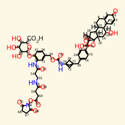 C[C@]12C=CC(=O)C=C1CC[C@@H]1[C@@H]2[C@@H](O)C[C@@]2(C)[C@H]1C[C@H]1O[C@H](c3ccc(CC45CC(NC(=O)OCc6ccc(O[C@@H]7O[C@H](C(=O)O)[C@@H](O)[C@H](O)[C@H]7O)c(NC(=O)CCNC(=O)CCC(=O)ON7C(=O)CCC7=O)c6)(C4)C5)cc3)O[C@]12C(=O)CO